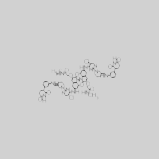 CNC(=O)COc1cc2cc(Nc3nc(N4CCCC(CNc5cccc(C6CCC(=O)NC6=O)c5)C4)ncc3Cl)ccc2n(-n2c(=O)c(OCC(=O)NC)cc3cc(Nc4nc(N5CCC[C@H](CNc6cccc(C7CCC(=O)NC7=O)c6)C5)ncc4Cl)ccc32)c1=O